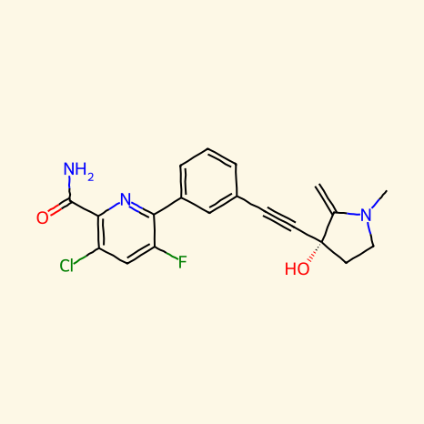 C=C1N(C)CC[C@@]1(O)C#Cc1cccc(-c2nc(C(N)=O)c(Cl)cc2F)c1